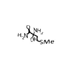 CSCCC(N)(O)C(N)=O